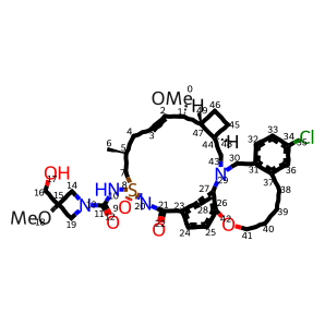 CO[C@H]1/C=C/C[C@H](C)CS(=O)(NC(=O)N2CC(CO)(OC)C2)=NC(=O)c2ccc3c(c2)N(Cc2ccc(Cl)cc2CCCCO3)C[C@@H]2CC[C@H]21